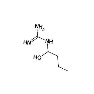 CCCC(O)NC(=N)N